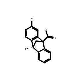 O=C(Cl)C12C[C@@H](c3ccccc31)c1ccc(Cl)cc12